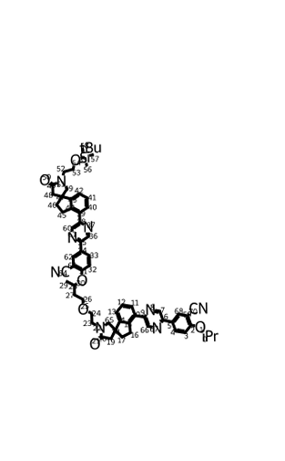 CC(C)Oc1ccc(-c2cnc(-c3cccc4c3CCC43CC(=O)N(CCOCCC(C)Oc4ccc(-c5cnc(-c6cccc7c6CCC76CC(=O)N(CCO[Si](C)(C)C(C)(C)C)C6)cn5)cc4C#N)C3)cn2)cc1C#N